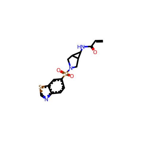 C=CC(=O)NC1C2CN(S(=O)(=O)c3ccc4ncsc4c3)CC21